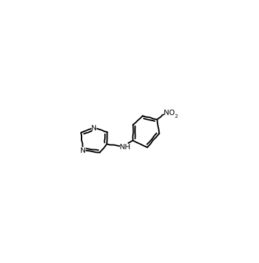 O=[N+]([O-])c1ccc(Nc2cncnc2)cc1